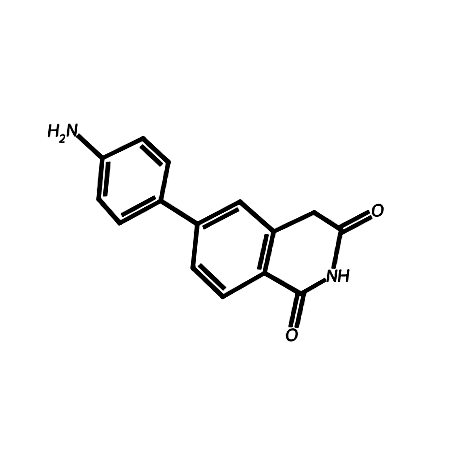 Nc1ccc(-c2ccc3c(c2)CC(=O)NC3=O)cc1